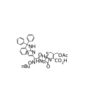 CCCCON=C(C(=O)N[C@@H]1C(=O)N2C(C(=O)O)=C(COC(C)=O)CS[C@H]12)c1csc(NC(c2ccccc2)(c2ccccc2)c2ccccc2)n1